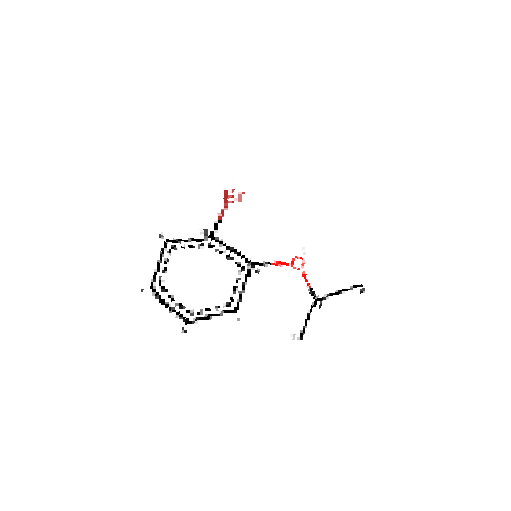 CC(C)Oc1ccccc1Br